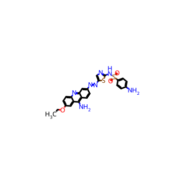 CCOc1ccc2nc3cc(N=Nc4cnc(NS(=O)(=O)c5ccc(N)cc5)s4)ccc3c(N)c2c1